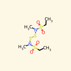 CCS(=O)(=O)N(C)SSN(C)S(=O)(=O)CC